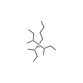 CCCC[PH](N(C)CC)(N(C)CC)N(C)CC